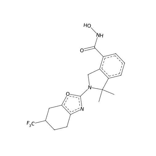 CC1(C)c2cccc(C(=O)NO)c2CN1c1nc2c(o1)CC(C(F)(F)F)CC2